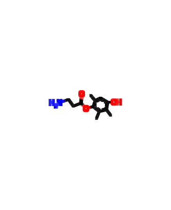 Cc1cc(O)c(C)c(C)c1OC(=O)CCN